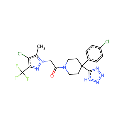 Cc1c(Cl)c(C(F)(F)F)nn1CC(=O)N1CCC(c2ccc(Cl)cc2)(c2nnn[nH]2)CC1